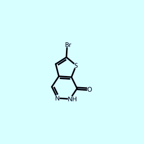 O=c1[nH]ncc2cc(Br)sc12